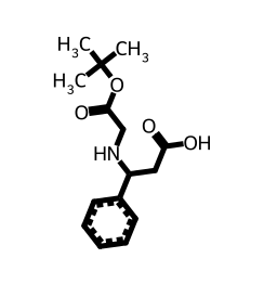 CC(C)(C)OC(=O)CNC(CC(=O)O)c1ccccc1